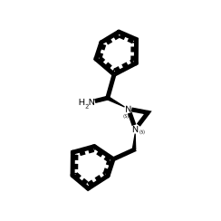 NC(c1ccccc1)[N@@]1C[N@@]1Cc1ccccc1